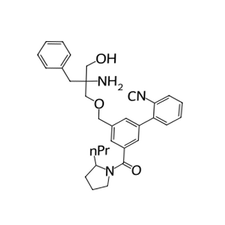 [C-]#[N+]c1ccccc1-c1cc(COCC(N)(CO)Cc2ccccc2)cc(C(=O)N2CCCC2CCC)c1